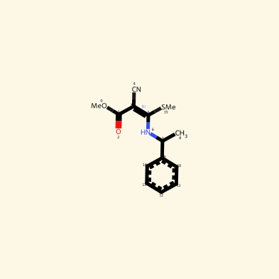 COC(=O)/C(C#N)=C(\NC(C)c1ccccc1)SC